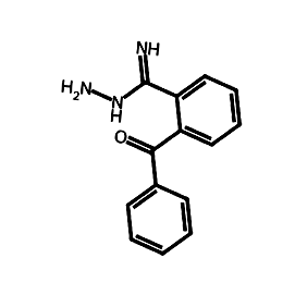 N=C(NN)c1ccccc1C(=O)c1ccccc1